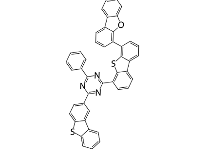 c1ccc(-c2nc(-c3ccc4sc5ccccc5c4c3)nc(-c3cccc4c3sc3c(-c5cccc6c5oc5ccccc56)cccc34)n2)cc1